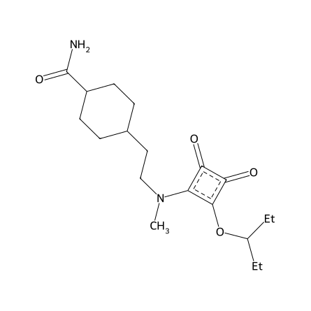 CCC(CC)Oc1c(N(C)CCC2CCC(C(N)=O)CC2)c(=O)c1=O